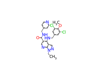 CCn1ncc2c(NCc3cc(Cl)c(OC)c(Cl)c3)c(C(=O)NCc3ccncc3)cnc21